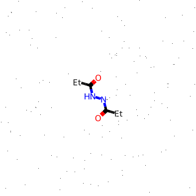 CCC(=O)[N]NC(=O)CC